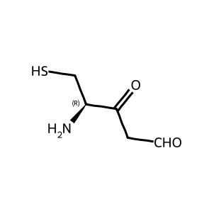 N[C@@H](CS)C(=O)CC=O